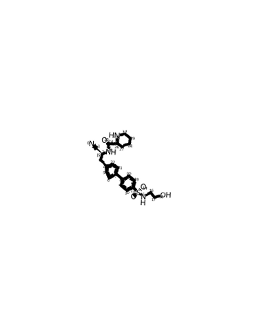 N#C[C@H](Cc1ccc(-c2ccc(S(=O)(=O)NCCO)cc2)cc1)NC(=O)C1CCCCN1